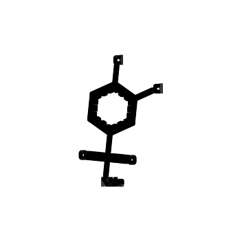 CNS(=O)(=O)c1ccc(Cl)c(Cl)c1